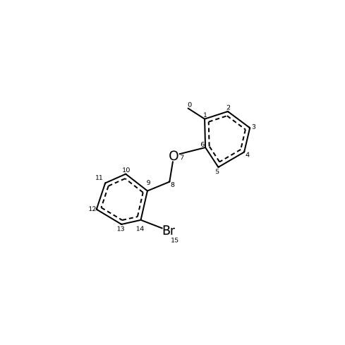 Cc1ccccc1OCc1ccccc1Br